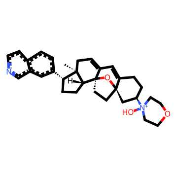 C[C@]12CC=C3C=C4CC[C@@H]([N+]5(O)CCOCC5)C[C@]45CC[C@]3(O5)[C@@H]1CC[C@@H]2c1ccc2ccncc2c1